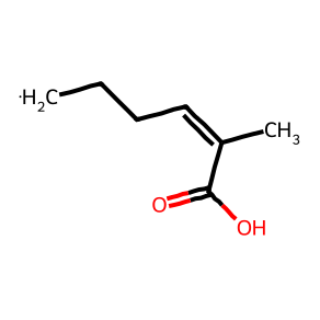 [CH2]CCC=C(C)C(=O)O